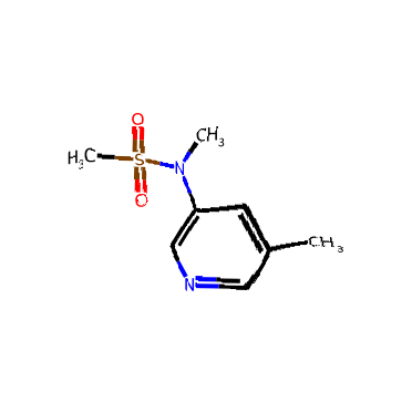 Cc1cncc(N(C)S(C)(=O)=O)c1